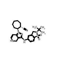 CC(C)(C)N1Cc2cc(Nc3nn([C@H]4CCCCC[C@@H]4C#N)c4c3CNC=C4)ccc2S1(=O)=O